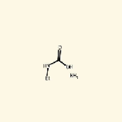 CCNC(=O)O.N